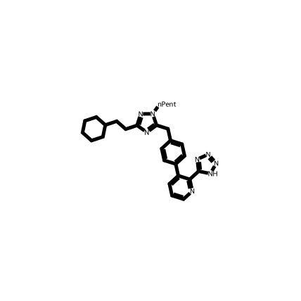 CCCCCn1nc(CCC2CCCCC2)nc1Cc1ccc(-c2cccnc2-c2nnn[nH]2)cc1